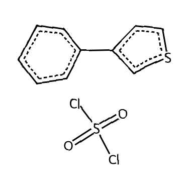 O=S(=O)(Cl)Cl.c1ccc(-c2ccsc2)cc1